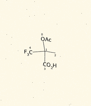 CC(=O)OC(C)(C(=O)O)C(F)(F)F